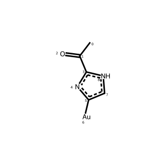 CC(=O)c1n[c]([Au])c[nH]1